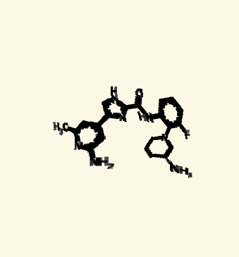 Cc1cc(-c2c[nH]c(C(=O)Nc3cccc(F)c3N3CCC[C@@H](N)C3)n2)cc(N)n1